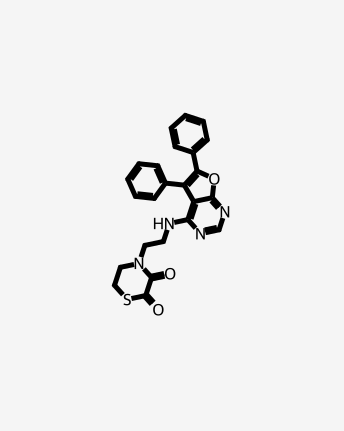 O=C1SCCN(CCNc2ncnc3oc(-c4ccccc4)c(-c4ccccc4)c23)C1=O